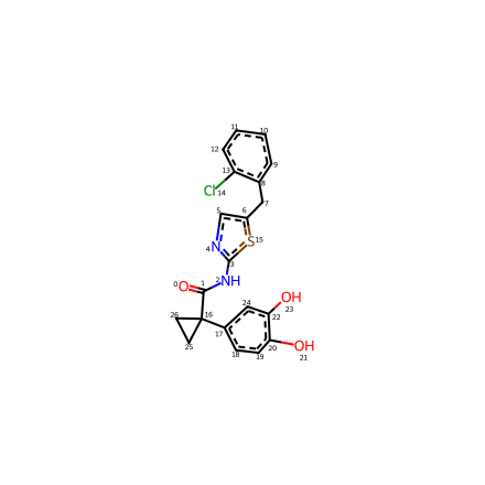 O=C(Nc1ncc(Cc2ccccc2Cl)s1)C1(c2ccc(O)c(O)c2)CC1